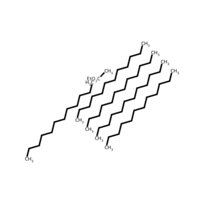 CCCCCCCCCCCC.CCCCCCCCCCCC.CCCCCCCCCCCC.CCCCCCCCCCCC.CCCCCCCCCCCC.CCOC(C)=O